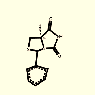 O=C1NC(=O)N2C(c3ccccc3)SC[C@@H]12